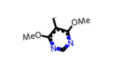 [CH2]c1c(OC)ncnc1OC